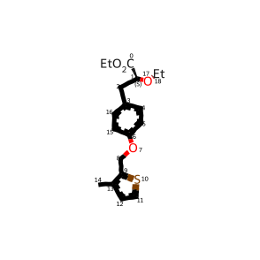 CCOC(=O)[C@H](Cc1ccc(OCc2sccc2C)cc1)OCC